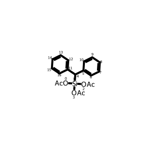 CC(=O)O[Si](OC(C)=O)(OC(C)=O)C(c1ccccc1)c1ccccc1